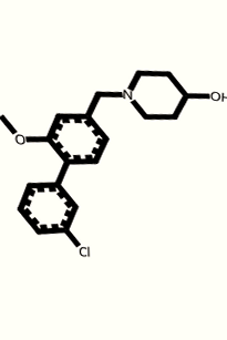 COc1cc(CN2CCC(O)CC2)ccc1-c1cccc(Cl)c1